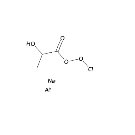 CC(O)C(=O)OOCl.[Al].[Na]